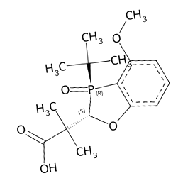 COc1cccc2c1[P@](=O)(C(C)(C)C)[C@@H](C(C)(C)C(=O)O)O2